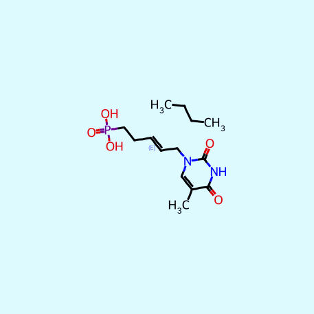 CCCC.Cc1cn(C/C=C/CCP(=O)(O)O)c(=O)[nH]c1=O